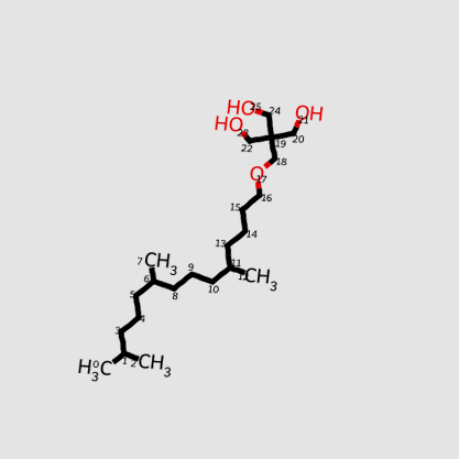 CC(C)CCCC(C)CCCC(C)CCCCOCC(CO)(CO)CO